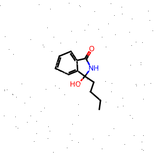 CCCCC1(O)NC(=O)c2ccccc21